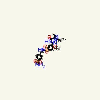 CCCc1nc(C)c2c(=O)[nH]c(-c3cc(S(=O)(=O)NCCc4ccc(S(N)(=O)=O)cc4)ccc3OCC)nn12